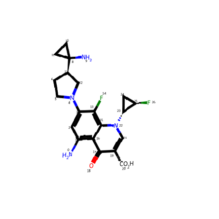 Nc1cc(N2CC[C@@H](C3(N)CC3)C2)c(F)c2c1c(=O)c(C(=O)O)cn2[C@@H]1C[C@H]1F